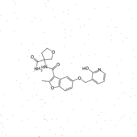 Cc1oc2ccc(OCc3cccnc3O)cc2c1C(=O)NC1(C(N)=O)CCOC1